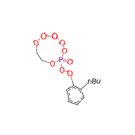 CCCCc1ccccc1OOP1(=O)OCCOOOOO1